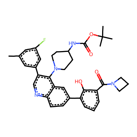 Cc1cc(F)cc(-c2cnc3ccc(-c4cccc(C(=O)N5CCC5)c4O)cc3c2N2CCC(NC(=O)OC(C)(C)C)CC2)c1